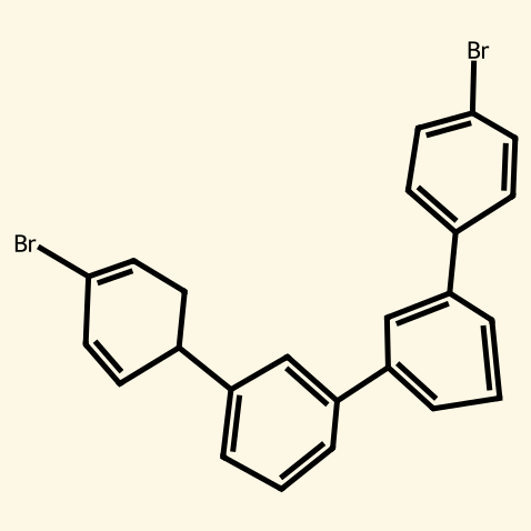 BrC1=CCC(c2cccc(-c3cccc(-c4ccc(Br)cc4)c3)c2)C=C1